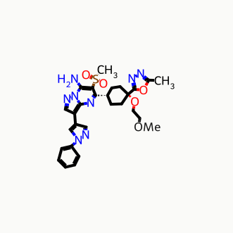 COCCO[C@]1(c2nnc(C)o2)CC[C@@H](c2nc3c(-c4cnn(-c5ccccc5)c4)cnn3c(N)c2S(C)(=O)=O)CC1